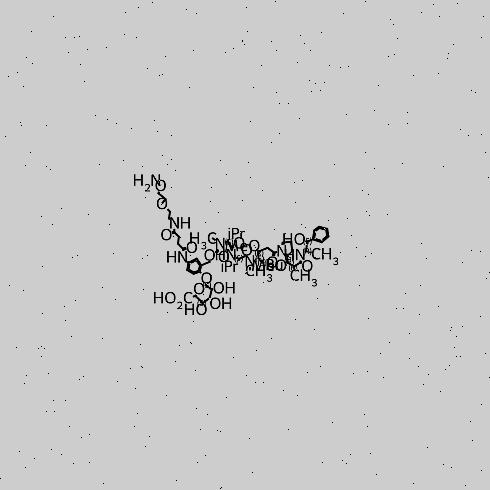 CC[C@H](C)[C@@H]([C@@H](CC(=O)N1CCC[C@H]1[C@H](OC)[C@@H](C)C(=O)N[C@H](C)[C@@H](O)c1ccccc1)OC)N(C)C(=O)[C@@H](NC(=O)[C@H](C(C)C)N(C)C(=O)OCc1cc(NC(=O)CCC(=O)NCCOCCON)ccc1O[C@@H]1OC(C(=O)O)[C@@H](O)C(O)C1O)C(C)C